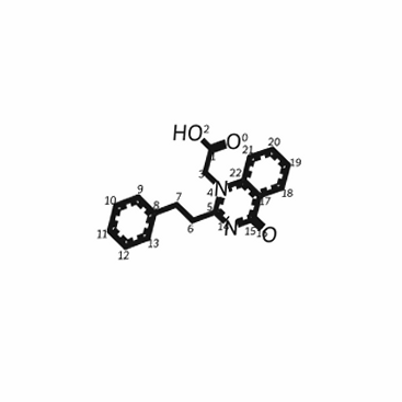 O=C(O)Cn1c(CCc2ccccc2)nc(=O)c2ccccc21